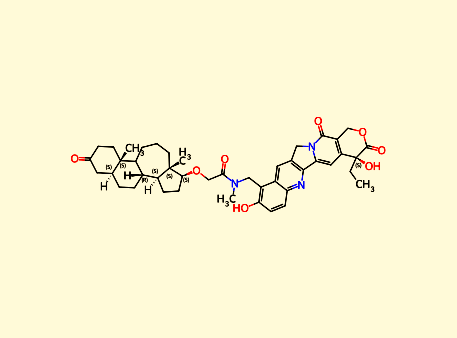 CC[C@@]1(O)C(=O)OCc2c1cc1n(c2=O)Cc2cc3c(CN(C)C(=O)CO[C@H]4CC[C@H]5[C@@H]6CC[C@H]7CC(=O)CC[C@]7(C)C6CCC[C@]45C)c(O)ccc3nc2-1